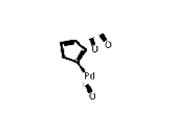 [C]=O.[C]=O.[C]=O.[Pd][C]1=CC=CC1